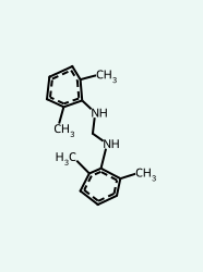 Cc1cccc(C)c1NCNc1c(C)cccc1C